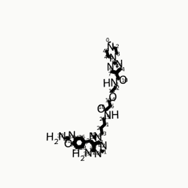 CN1CCN(c2ncc(C(=O)NCCOCCC(=O)NCCCCn3nc(-c4ccc5oc(N)nc5c4)c4c(N)ncnc43)cn2)CC1